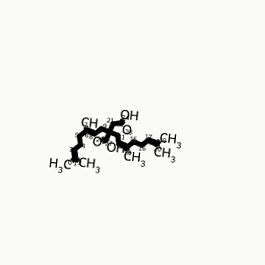 CC(C)=CCCC(C)=CCC(CC=C(C)CCC=C(C)C)(CC(=O)O)C(=O)O